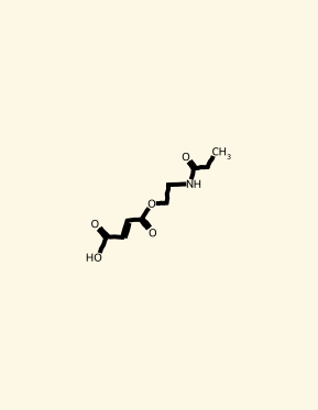 CCC(=O)NCCOC(=O)C=CC(=O)O